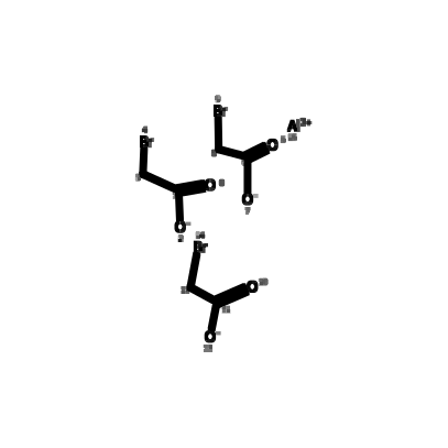 O=C([O-])CBr.O=C([O-])CBr.O=C([O-])CBr.[Al+3]